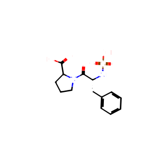 O=C(O)C1CCCN1C(=O)[C@@H](Cc1ccccc1)NS(=O)(=O)O